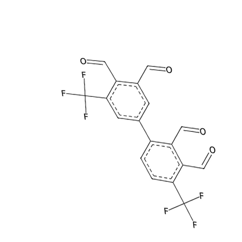 O=Cc1cc(-c2ccc(C(F)(F)F)c(C=O)c2C=O)cc(C(F)(F)F)c1C=O